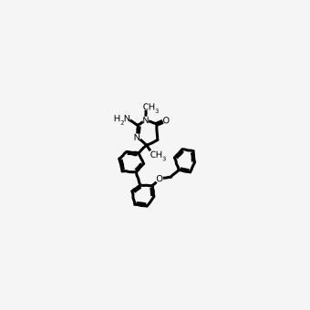 CN1C(=O)CC(C)(c2cccc(-c3ccccc3OCc3ccccc3)c2)N=C1N